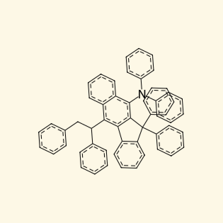 c1ccc(CC(c2ccccc2)c2c3c(c(N(c4ccccc4)c4ccccc4)c4ccccc24)C(c2ccccc2)(c2ccccc2)c2ccccc2-3)cc1